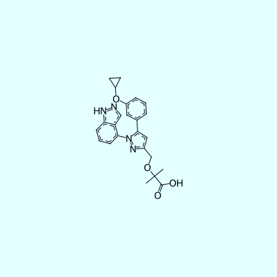 CC(C)(OCc1cc(-c2cccc(OC3CC3)c2)n(-c2cccc3[nH]ncc23)n1)C(=O)O